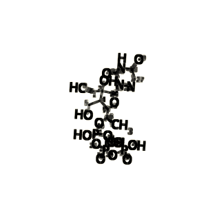 C#CC1(O)C(CO)[C@@H]([C@@H](C)OP(=O)(O)OP(=O)(O)OP(=O)(O)O)O[C@H]1n1ncc(=O)[nH]c1=O